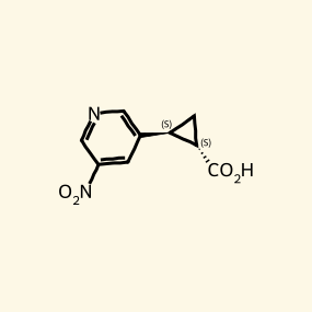 O=C(O)[C@H]1C[C@@H]1c1cncc([N+](=O)[O-])c1